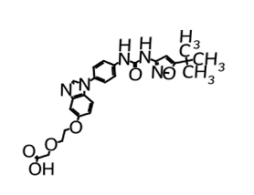 CC(C)(C)c1cc(NC(=O)Nc2ccc(-n3cnc4cc(OCCOCC(=O)O)ccc43)cc2)no1